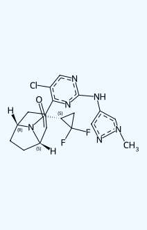 Cn1cc(Nc2ncc(Cl)c(C3=C[C@@H]4CC[C@H](C3)N4C(=O)[C@@H]3CC3(F)F)n2)cn1